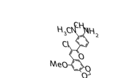 COc1cc2c(cc1/C=C(/Cl)C(=O)c1ccc(N)c(N(C)C)c1)OCO2